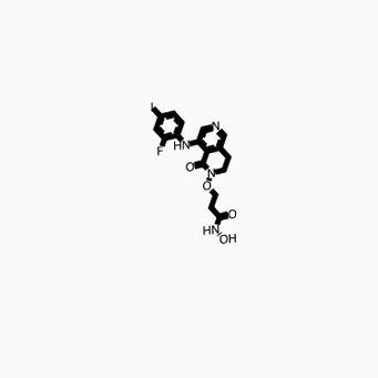 O=C(CCON1CCc2cncc(Nc3ccc(I)cc3F)c2C1=O)NO